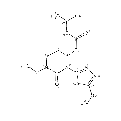 CCN1CCC(OC(=O)OC(C)Cl)N(c2nnc(OC)s2)C1=O